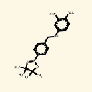 CC1(C)OB(c2ccc(CNc3ccc([N+](=O)[O-])c(N)c3)cc2)OC1(C)C